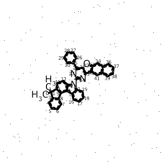 CC1(C)c2ccccc2-c2c1ccc1c2c2ccccc2n1-c1nc(-c2ccccc2)c2oc3cc4ccccc4cc3c2n1